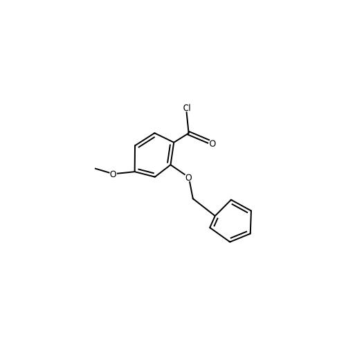 COc1ccc(C(=O)Cl)c(OCc2ccccc2)c1